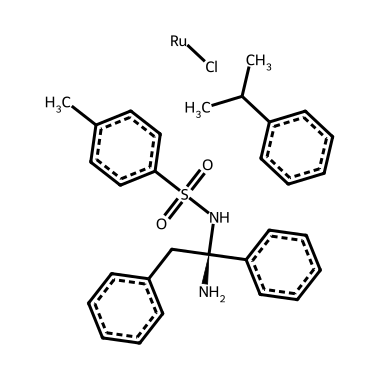 CC(C)c1ccccc1.Cc1ccc(S(=O)(=O)N[C@@](N)(Cc2ccccc2)c2ccccc2)cc1.[Cl][Ru]